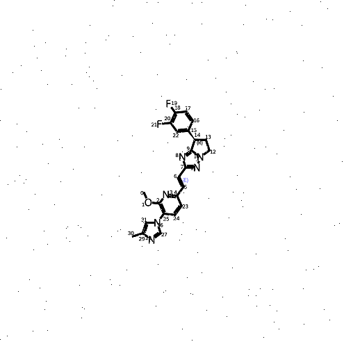 COc1nc(/C=C/c2nc3n(n2)CC[C@@H]3c2ccc(F)c(F)c2)ccc1-n1cnc(C)c1